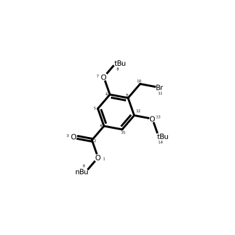 CCCCOC(=O)c1cc(OC(C)(C)C)c(CBr)c(OC(C)(C)C)c1